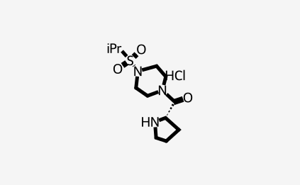 CC(C)S(=O)(=O)N1CCN(C(=O)[C@@H]2CCCN2)CC1.Cl